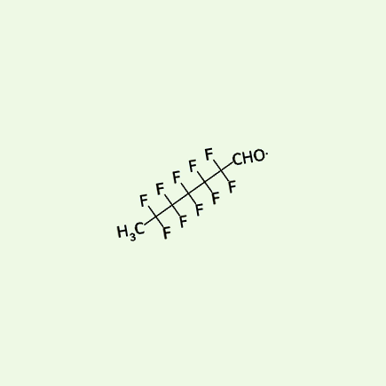 CC(F)(F)C(F)(F)C(F)(F)C(F)(F)C(F)(F)[C]=O